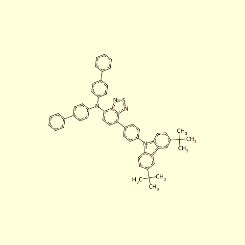 CC(C)(C)c1ccc2c(c1)c1cc(C(C)(C)C)ccc1n2-c1ccc(-c2ccc(N(c3ccc(-c4ccccc4)cc3)c3ccc(-c4ccccc4)cc3)c3nsnc23)cc1